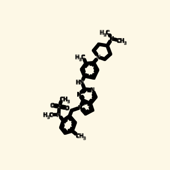 Cc1ccc(N(C)S(C)(=O)=O)c(Cn2ccc3cnc(Nc4ccc(N5CCC(N(C)C)CC5)c(C)c4)nc32)c1